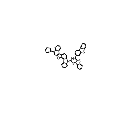 c1ccc(-c2cc3oc4c(ccc5c4c4ccccc4n5-c4nc(-c5ccc6c(c5)sc5ccccc56)c5sc6ccccc6c5n4)c3c3ccccc23)cc1